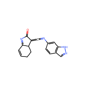 O=C1N=C2C=CCCC2C1=C=Nc1ccc2cn[nH]c2c1